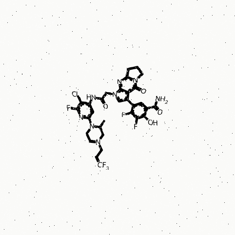 CC1CN(CCC(F)(F)F)CCN1c1cc(NC(=O)Cn2cc(-c3cc(C(N)=O)c(O)c(F)c3F)c3c(=O)n4c(nc32)CCC4)c(Cl)c(F)n1